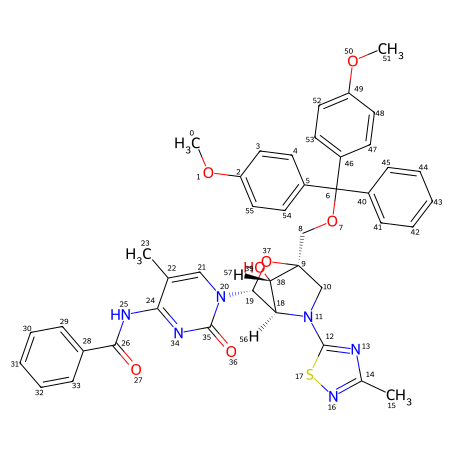 COc1ccc(C(OC[C@@]23CN(c4nc(C)ns4)[C@@H]([C@H](n4cc(C)c(NC(=O)c5ccccc5)nc4=O)O2)[C@@H]3O)(c2ccccc2)c2ccc(OC)cc2)cc1